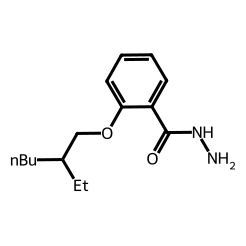 CCCCC(CC)COc1ccccc1C(=O)NN